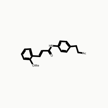 COc1ccccc1/C=C/C(=O)Nc1ccc(CCC(C)=O)cc1